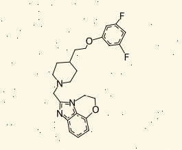 Fc1cc(F)cc(OCCC2CCN(Cc3nc4cccc5c4n3CCO5)CC2)c1